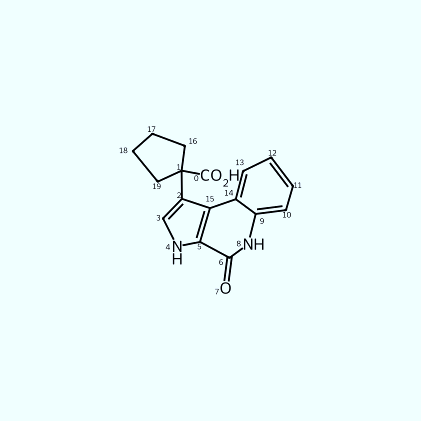 O=C(O)C1(c2c[nH]c3c(=O)[nH]c4ccccc4c23)CCCC1